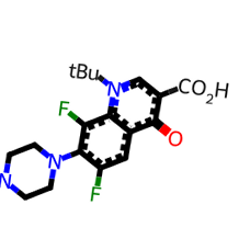 CC(C)(C)n1cc(C(=O)O)c(=O)c2cc(F)c(N3CCNCC3)c(F)c21